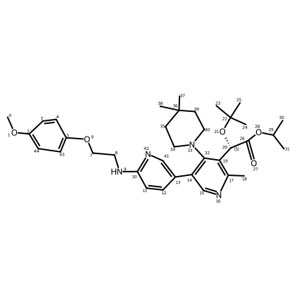 COc1ccc(OCCNc2ccc(-c3cnc(C)c([C@H](OC(C)(C)C)C(=O)OC(C)C)c3N3CCC(C)(C)CC3)cn2)cc1